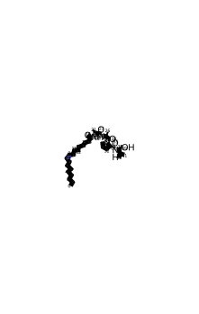 CCCCCCCC/C=C\CCCCCCCC(=O)N[C@@H](C)C(=O)N[C@@H](C)C(=O)N1CCC[C@H]1C(=O)N[C@H](CO)C(C)C